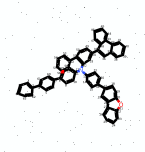 c1ccc(-c2ccc(-c3ccc(N(c4ccc(-c5ccc6oc7ccccc7c6c5)cc4)c4cc(-c5cc6ccccc6c6ccccc56)ccc4-c4ccccc4)cc3)cc2)cc1